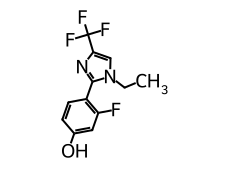 CCn1cc(C(F)(F)F)nc1-c1ccc(O)cc1F